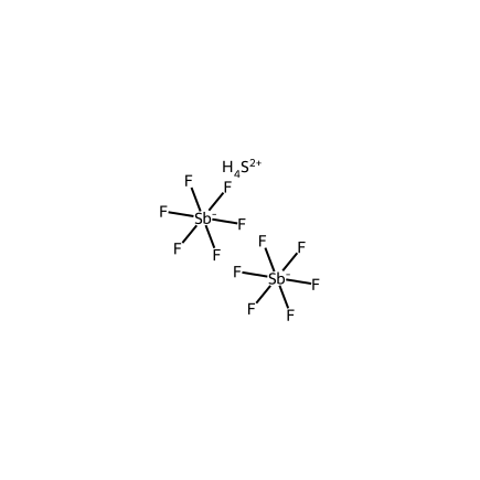 [F][Sb-]([F])([F])([F])([F])[F].[F][Sb-]([F])([F])([F])([F])[F].[SH4+2]